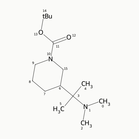 CN(C)C(C)(C)C1CCCN(C(=O)OC(C)(C)C)C1